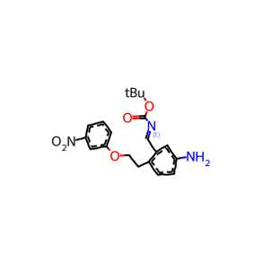 CC(C)(C)OC(=O)/N=C/c1cc(N)ccc1CCOc1cccc([N+](=O)[O-])c1